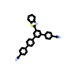 N#Cc1ccc(-c2ccc(-c3cc(-c4ccc(C#N)cc4)cc(-c4nc5ccccc5s4)c3)cc2)cc1